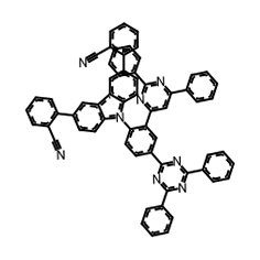 N#Cc1ccccc1-c1ccc2c(c1)c1cc(-c3ccccc3C#N)ccc1n2-c1ccc(-c2nc(-c3ccccc3)nc(-c3ccccc3)n2)cc1-c1cc(-c2ccccc2)nc(-c2ccccc2)n1